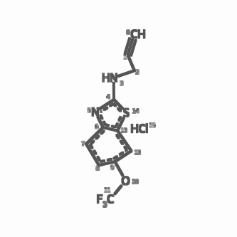 C#CCNc1nc2ccc(OC(F)(F)F)cc2s1.Cl